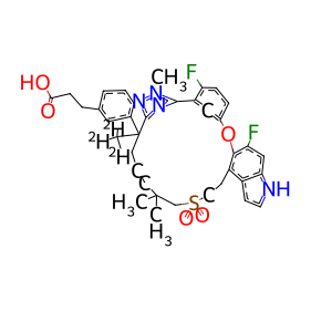 [2H]C([2H])([2H])C1(c2cccc(CCC(=O)O)c2)CCCC(C)(C)CS(=O)(=O)CCc2c(c(F)cc3[nH]ccc23)Oc2ccc(F)c(c2)-c2nc1nn2C